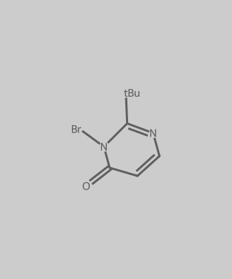 CC(C)(C)c1nccc(=O)n1Br